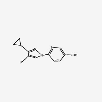 O=Cc1ccc(-n2cc(F)c(C3CC3)n2)nc1